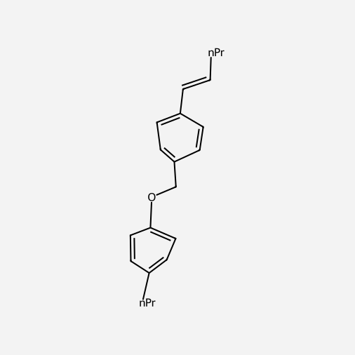 CCCC=Cc1ccc(COc2ccc(CCC)cc2)cc1